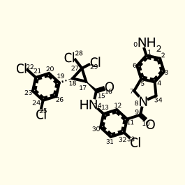 Nc1ccc2c(c1)CN(C(=O)c1cc(NC(=O)[C@H]3[C@H](c4cc(Cl)cc(Cl)c4)C3(Cl)Cl)ccc1Cl)C2